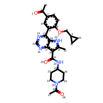 CC(=O)c1ccc(OCC2CC2)c(-c2ncnc3c(C(=O)NC4CCN(C(C)=O)CC4)c(C)[nH]c23)c1